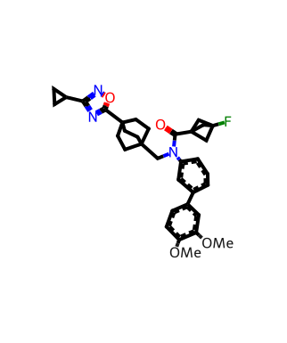 COc1ccc(-c2cccc(N(CC34CCC(c5nc(C6CC6)no5)(CC3)CC4)C(=O)C34CC(F)(C3)C4)c2)cc1OC